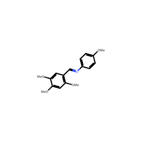 COc1ccc(/N=C/c2cc(OC)c(OC)cc2OC)cc1